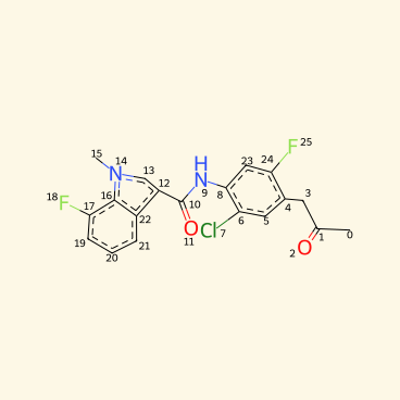 CC(=O)Cc1cc(Cl)c(NC(=O)c2cn(C)c3c(F)cccc23)cc1F